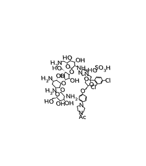 CC(=O)N1CCN(c2ccc(OC[C@H]3CO[C@](Cn4ccnc4)(c4ccc(Cl)cc4Cl)O3)cc2)CC1.NC[C@@H]1O[C@H](O[C@H]2[C@@H](O)[C@H](O[C@@H]3[C@@H](O)[C@H](N)C[C@H](N)[C@H]3O[C@H]3O[C@H](CO)[C@@H](O)[C@H](O)[C@H]3N)O[C@@H]2CO)[C@H](N)[C@@H](O)[C@@H]1O.O=S(=O)(O)O